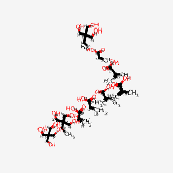 C=C(C)C(=O)O.C=C(C)C(=O)O.C=C(C)C(=O)O.C=CC(=O)O.C=CC(=O)O.C=CC(=O)O.CCC(CO)(CO)CO.CCC(CO)(CO)CO.OCC(CO)(CO)CO